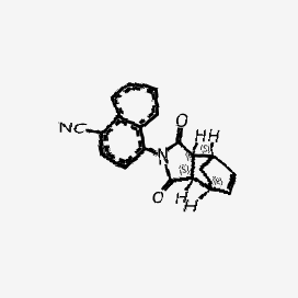 N#Cc1ccc(N2C(=O)[C@@H]3[C@H](C2=O)[C@@H]2C=C[C@H]3C2)c2ccccc12